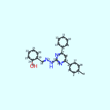 Cc1ccc(-c2cc(-c3ccccc3)nc(NN=Cc3ccccc3O)n2)cc1